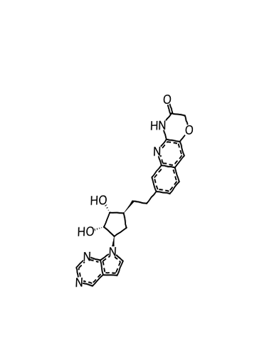 O=C1COc2cc3ccc(CC[C@H]4C[C@@H](n5ccc6cncnc65)[C@H](O)[C@@H]4O)cc3nc2N1